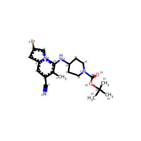 Cc1c(C#N)cc2cc(Br)cn2c1NC1CCN(C(=O)OC(C)(C)C)CC1